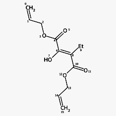 C=CCOC(=O)/C(O)=C(\CC)C(=O)OCC=C